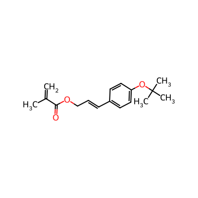 C=C(C)C(=O)OCC=Cc1ccc(OC(C)(C)C)cc1